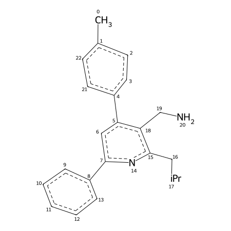 Cc1ccc(-c2cc(-c3ccccc3)nc(CC(C)C)c2CN)cc1